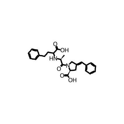 C[C@H](NC(CCc1ccccc1)C(=O)O)C(=O)N1CC(=Cc2ccccc2)C[C@H]1C(=O)O